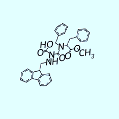 COC(=O)C(Cc1ccccc1)N(Cc1ccccc1)C(=O)N(NCC1c2ccccc2-c2ccccc21)C(=O)O